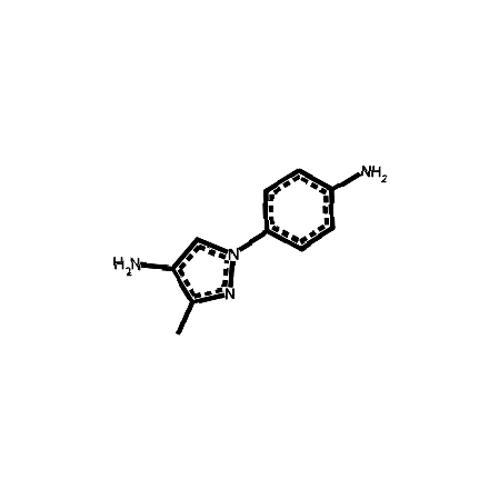 Cc1nn(-c2ccc(N)cc2)cc1N